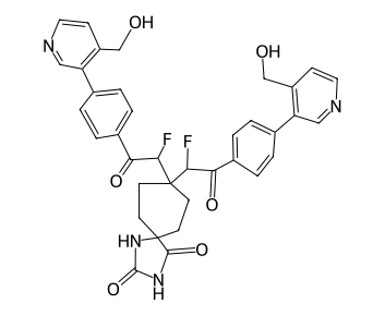 O=C1NC(=O)C2(CCC(C(F)C(=O)c3ccc(-c4cnccc4CO)cc3)(C(F)C(=O)c3ccc(-c4cnccc4CO)cc3)CC2)N1